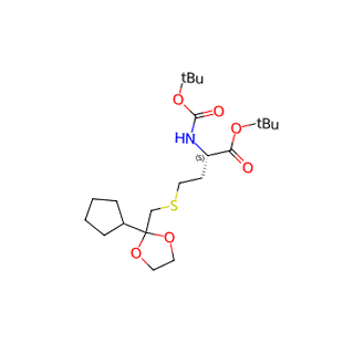 CC(C)(C)OC(=O)N[C@@H](CCSCC1(C2CCCC2)OCCO1)C(=O)OC(C)(C)C